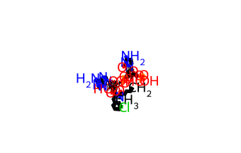 C=CCCC(=O)N(C)C(Cc1cccc(Cl)c1)C(=O)O[C@H]1[C@@H](O)[C@H](n2cnc3c(N)ncnc32)O[C@H]1COP(=O)(O)O[C@H]1C[C@H](n2ccc(N)nc2=O)O[C@@H]1COP(=O)(O)O